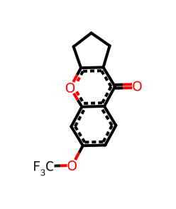 O=c1c2c(oc3cc(OC(F)(F)F)ccc13)CCC2